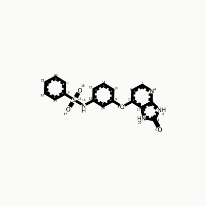 O=c1[nH]c2nccc(Oc3cccc(NS(=O)(=O)c4ccccc4)c3)c2[nH]1